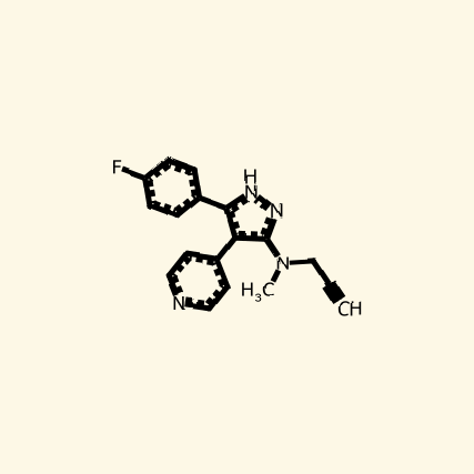 C#CCN(C)c1n[nH]c(-c2ccc(F)cc2)c1-c1ccncc1